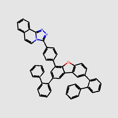 c1ccc(-c2ccccc2-c2ccc3oc4c(-c5ccc(-c6nnc7c8ccccc8ccn67)cc5)cc(-c5ccccc5-c5ccccc5)cc4c3c2)cc1